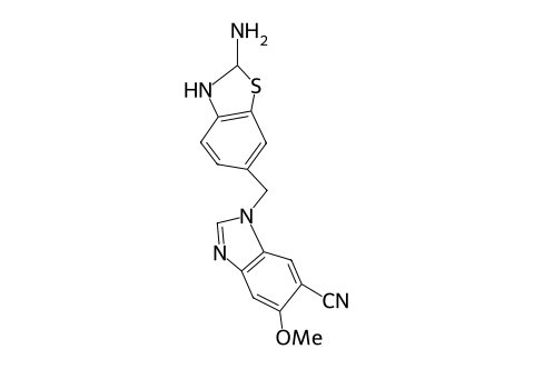 COc1cc2ncn(Cc3ccc4c(c3)SC(N)N4)c2cc1C#N